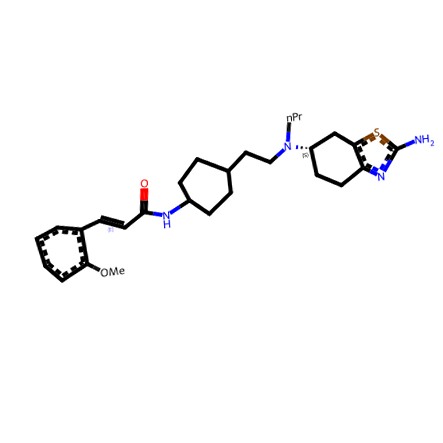 CCCN(CCC1CCC(NC(=O)/C=C/c2ccccc2OC)CC1)[C@H]1CCc2nc(N)sc2C1